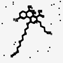 C=C(C)C1CCC(C)=CC1c1c(OCCOCCOCCN=[N+]=[N-])cc(CCCCC)c(C(=O)O)c1O